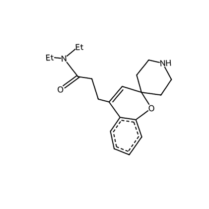 CCN(CC)C(=O)CCC1=CC2(CCNCC2)Oc2ccccc21